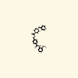 Nc1ccccc1NC(=O)c1ccc(CSC(=S)N2CCN(Cc3ccncc3)CC2)cc1